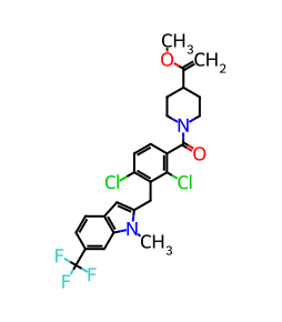 C=C(OC)C1CCN(C(=O)c2ccc(Cl)c(Cc3cc4ccc(C(F)(F)F)cc4n3C)c2Cl)CC1